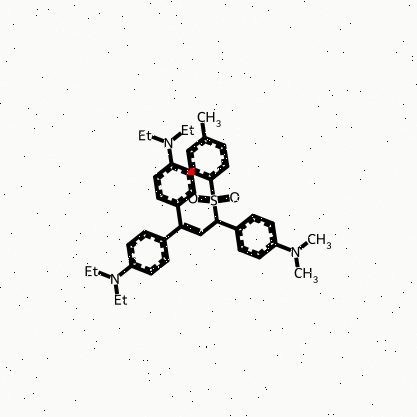 CCN(CC)c1ccc(C(=CC(c2ccc(N(C)C)cc2)S(=O)(=O)c2ccc(C)cc2)c2ccc(N(CC)CC)cc2)cc1